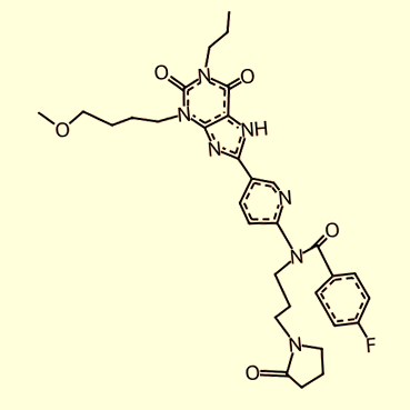 CCCn1c(=O)c2[nH]c(-c3ccc(N(CCCN4CCCC4=O)C(=O)c4ccc(F)cc4)nc3)nc2n(CCCCOC)c1=O